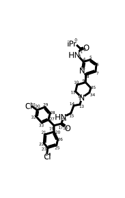 CC(C)C(=O)Nc1cccc(C2CCN(CCCNC(=O)C(c3ccc(Cl)cc3)c3ccc(Cl)cc3)CC2)n1